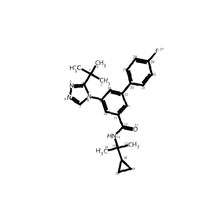 CC(C)(C)c1nncn1-c1cc(C(=O)NC(C)(C)C2CC2)cc(-c2ccc(F)cc2)c1